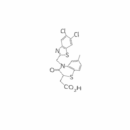 Cc1ccc2c(c1)N(Cc1nc3cc(Cl)c(Cl)cc3s1)C(=O)C(CC(=O)O)S2